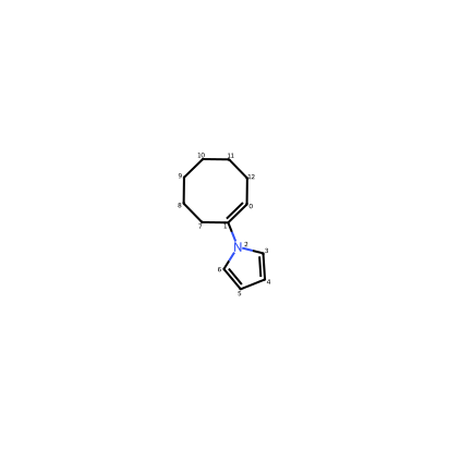 C1=C(n2cccc2)CCCCCC1